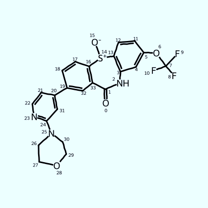 O=C1Nc2cc(OC(F)(F)F)ccc2[S+]([O-])c2ccc(-c3ccnc(N4CCOCC4)c3)cc21